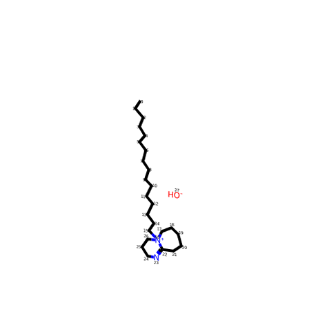 CCCCCCCCCCCCCCCC[N+]12CCCCCC1=NCCC2.[OH-]